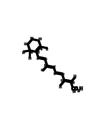 CC1=C(/C=C/C(C)=C/C=C/C(C)=C(\C)C(=O)O)C(C)(C)CCC1